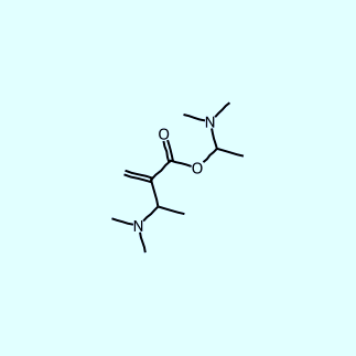 C=C(C(=O)OC(C)N(C)C)C(C)N(C)C